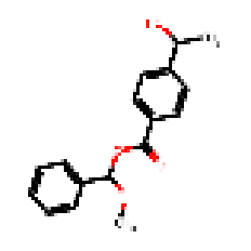 COC(OC(=O)c1ccc(C(C)O)cc1)c1ccccc1